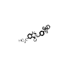 O=C(O)c1ccc2ncn(Cc3ccc(S(=O)(=O)N4CCCC4)cc3)c(=O)c2c1